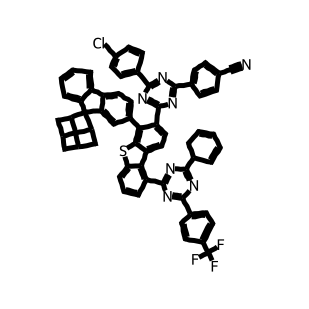 N#Cc1ccc(-c2nc(-c3ccc(Cl)cc3)nc(-c3ccc4c(sc5cccc(-c6nc(-c7ccc(C(F)(F)F)cc7)nc(C7C=CC=CC7)n6)c54)c3-c3ccc4c(c3)C3(c5ccccc5-4)C4CC5CC6CC3C564)n2)cc1